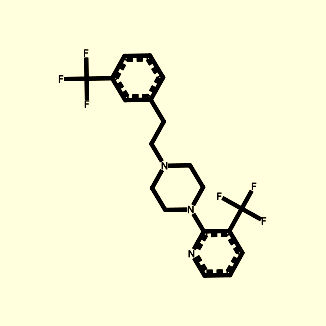 FC(F)(F)c1cccc(CCN2CCN(c3ncccc3C(F)(F)F)CC2)c1